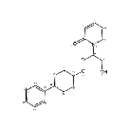 O=c1ccccn1C(CO)COC1CCC(c2ccccc2)CC1